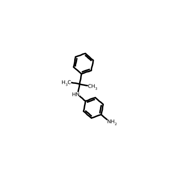 CC(C)(Nc1ccc(N)cc1)c1ccccc1